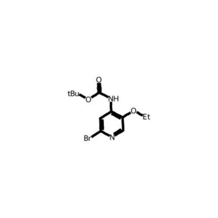 CCOc1cnc(Br)cc1NC(=O)OC(C)(C)C